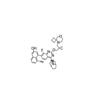 C#Cc1cccc2cc(O)cc(-c3ccc4c(N5CC6CCC(C5)N6)nc(OCC5(CN6CCOCC67CCC7)CC5)nc4c3F)c12